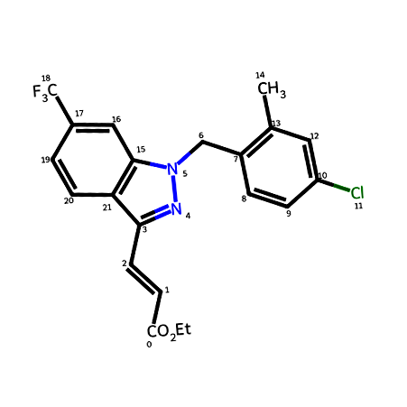 CCOC(=O)C=Cc1nn(Cc2ccc(Cl)cc2C)c2cc(C(F)(F)F)ccc12